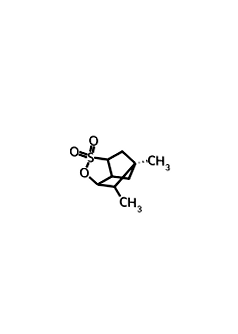 CC1C2OS(=O)(=O)C3C[C@@]1(C)CC23